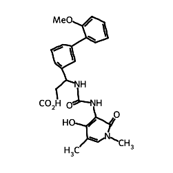 COc1ccccc1-c1cccc(C(CC(=O)O)NC(=O)Nc2c(O)c(C)cn(C)c2=O)c1